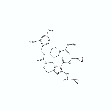 COc1ccc(CN(C(=S)[C@H]2CCc3sc(NC(=O)C4CC4)c(C(=O)NCC4CC4)c3C2)C2CCN(C(=O)OC(C)(C)C)CC2)c(OC)c1